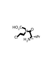 CCC[C@H](N)C(=O)N(C=CCl)CC(=O)O